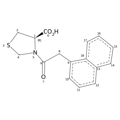 O=C(O)[C@@H]1CSCN1C(=O)Cc1cccc2ccccc12